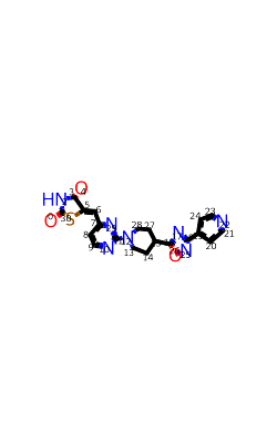 O=C1NC(=O)/C(=C/c2ccnc(N3CCC(c4nc(-c5ccncc5)no4)CC3)n2)S1